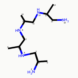 CC(N)CNC(C)CNC(C)CNC(C)CN